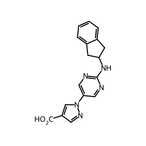 O=C(O)c1cnn(-c2cnc(NC3Cc4ccccc4C3)nc2)c1